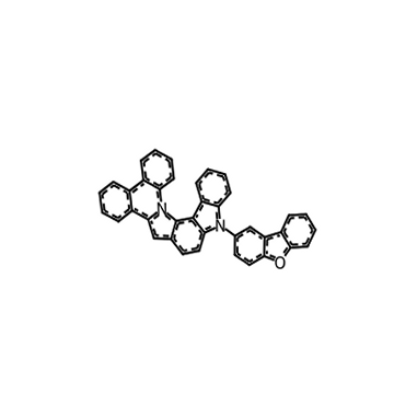 c1ccc2c(c1)oc1ccc(-n3c4ccccc4c4c3ccc3cc5c6ccccc6c6ccccc6n5c34)cc12